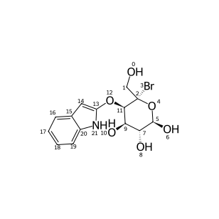 OC[C@@]1(Br)O[C@@H](O)[C@H](O)[C@@H](O)[C@H]1Oc1cc2ccccc2[nH]1